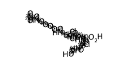 O=C(CCOCCOCCOCCOCCNC(=O)CCN1C(=O)C=CC1=O)NCCCOc1cc(Cl)c(C(=O)Nc2ccc(C[C@H](NC(=O)c3ccc(C(=O)NCc4cccc(O)c4)cc3Cl)C(=O)O)cc2)c(Cl)c1